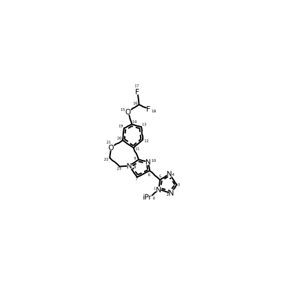 CC(C)n1ncnc1-c1cn2c(n1)-c1ccc(OC(F)F)cc1OCC2